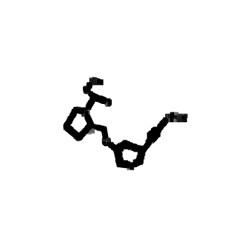 CCCCCCC#Cc1cncc(OC[C@H]2CCCN2C(=O)OC(C)(C)C)c1